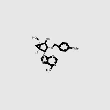 COc1ccc(CO[C@H]2C(O)[C@]3(CO)C[C@@H]3[C@H]2n2cnc3c(N)ncnc32)cc1